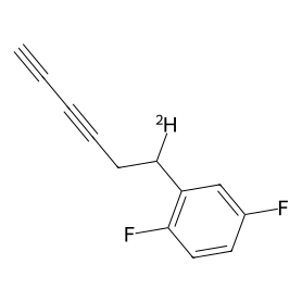 [2H]C(CC#CC#C)c1cc(F)ccc1F